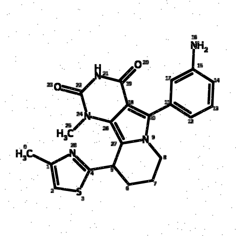 Cc1csc(C2CCCn3c(-c4cccc(N)c4)c4c(=O)[nH]c(=O)n(C)c4c32)n1